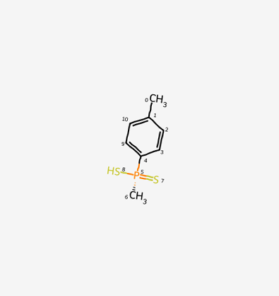 Cc1ccc([P@@](C)(=S)S)cc1